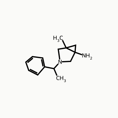 CC(c1ccccc1)N1CC2(C)CC2(N)C1